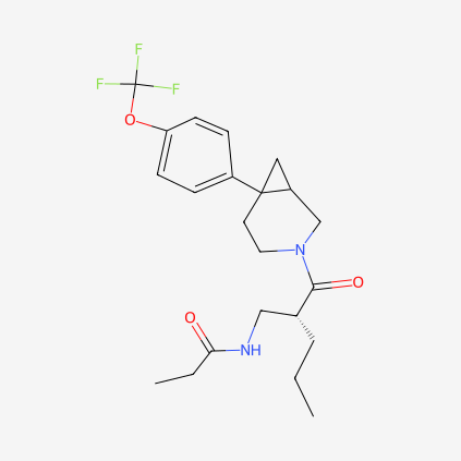 CCC[C@H](CNC(=O)CC)C(=O)N1CCC2(c3ccc(OC(F)(F)F)cc3)CC2C1